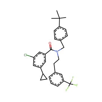 CC(C)(C)c1ccc(CN(CCc2cccc(C(F)(F)F)c2)C(=O)c2cc(Cl)cc(C3CC3)c2)cc1